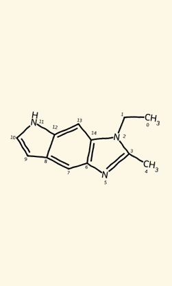 CCn1c(C)nc2cc3cc[nH]c3cc21